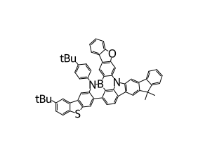 CC(C)(C)c1ccc(N2B3c4cc5c(cc4-n4c6cc7c(cc6c6ccc(c3c64)-c3cc4sc6ccc(C(C)(C)C)cc6c4cc32)C(C)(C)c2ccccc2-7)oc2ccccc25)cc1